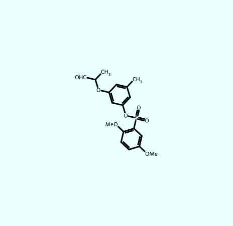 COc1ccc(OC)c(S(=O)(=O)Oc2cc(C)cc(OC(C)C=O)c2)c1